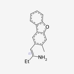 CC/C(N)=C/c1cc2c(cc1C)oc1ccccc12